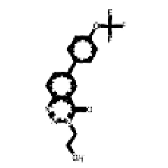 O=c1c2cc(-c3ccc(OC(F)(F)F)cc3)ccc2nnn1CCO